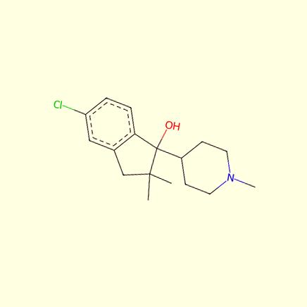 CN1CCC(C2(O)c3ccc(Cl)cc3CC2(C)C)CC1